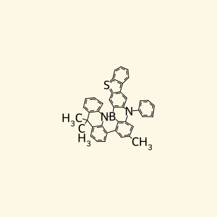 Cc1cc2c3c(c1)N(c1ccccc1)c1cc4c(cc1B3N1c3ccccc3C(C)(C)c3cccc-2c31)sc1ccccc14